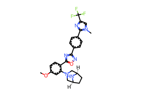 COc1ccc(-c2nc(-c3ccc(-c4nc(C(F)(F)F)cn4C)cc3)no2)c(N2C[C@H]3CC[C@@H](C2)N3)c1